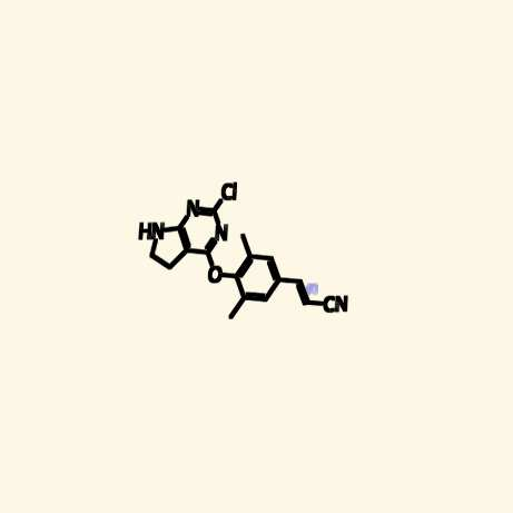 Cc1cc(/C=C/C#N)cc(C)c1Oc1nc(Cl)nc2c1CCN2